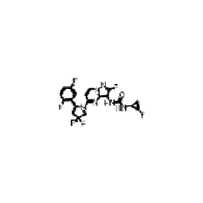 O=C(Nc1c(F)nn2ccc(N3CC(F)(F)CC3c3cc(F)ccc3F)nc12)N[C@H]1C[C@H]1F